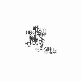 C/C(=C\OC(C)CCNC(=O)[C@@H](N)CS)OCCC(=O)N1CCC[C@H]1C(=O)N[C@@H](CC(C)C)C(=O)N[C@@H](Cc1cnc[nH]1)C(=O)N[C@@H](C)C(=O)N[C@H](C(N)=O)[C@@H](C)OP(=O)(O)O